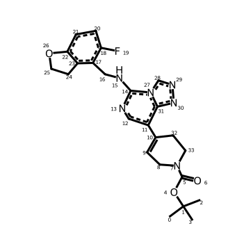 CC(C)(C)OC(=O)N1CC=C(c2cnc(NCc3c(F)ccc4c3CCO4)n3cnnc23)CC1